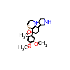 COc1ccc(C2(OC)CCC3=C4CNCCC4N4CC=CSC2=C34)cc1OC